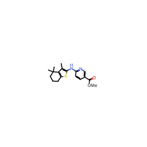 COC(=O)c1ccc(Nc2sc3c(c2C)C(C)(C)CCC3)nc1